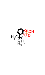 CC(C)(C)c1cccc2c1OP(=O)(O)O2